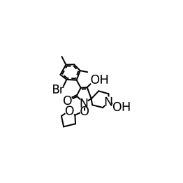 Cc1cc(C)c(C2=C(O)C3(CCN(O)CC3)N(OC3CCCO3)C2=O)c(Br)c1